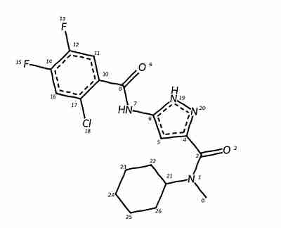 CN(C(=O)c1cc(NC(=O)c2cc(F)c(F)cc2Cl)[nH]n1)C1CCCCC1